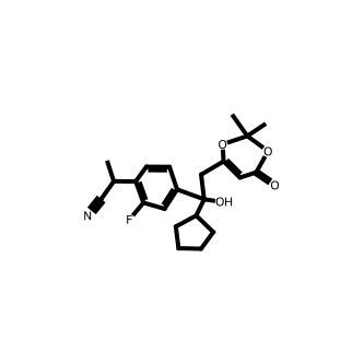 CC(C#N)c1ccc(C(O)(CC2=CC(=O)OC(C)(C)O2)C2CCCC2)cc1F